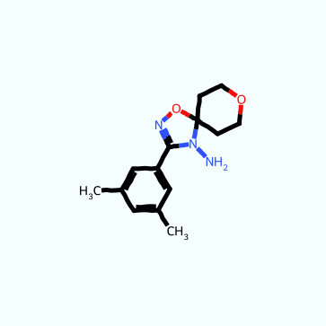 Cc1cc(C)cc(C2=NOC3(CCOCC3)N2N)c1